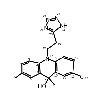 Cc1ccc2c(c1)C(C)(O)c1cc(Cl)ccc1N2CCc1nnn[nH]1